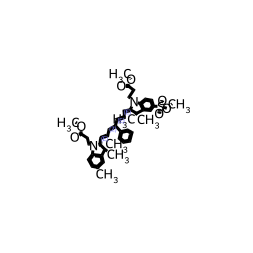 COC(=O)CCN1/C(=C/C=C/C(=C/C=C/C2=[N+](CCC(=O)OC)c3ccc(C)cc3C2(C)C)c2ccccc2)C(C)(C)c2cc(S(=O)(=O)OC)ccc21